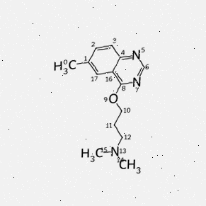 Cc1ccc2ncnc(OCCCN(C)C)c2c1